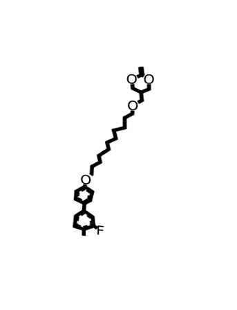 C=C1OCC(COCCCCCCCCCCCOc2ccc(-c3ccc(C)c(F)c3)cc2)CO1